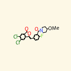 COC1CCN(C(=O)c2cc(C=C3OC(=O)c4cc(Cl)c(Cl)cc43)ccc2F)CC1